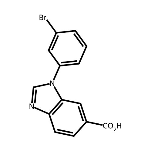 O=C(O)c1ccc2ncn(-c3cccc(Br)c3)c2c1